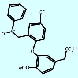 COc1ccc(CC(=O)O)cc1Oc1ccc(C(F)(F)F)cc1C[S+]([O-])c1ccccc1